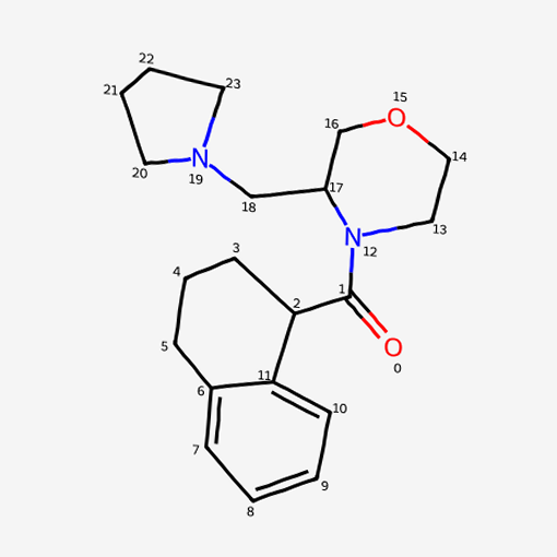 O=C(C1CCCc2ccccc21)N1CCOCC1CN1CCCC1